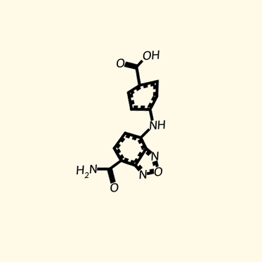 NC(=O)c1ccc(Nc2ccc(C(=O)O)cc2)c2nonc12